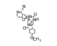 COc1ccc2c(c1)C(=O)N(C[C@@]1(c3cc4c(C#N)nccc4o3)NC(=O)NC1=O)C2